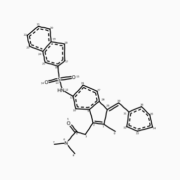 CC1=C(CC(=O)N(C)C)c2cc(NS(=O)(=O)c3ccc4ccccc4c3)ccc2C1=Cc1ccccc1